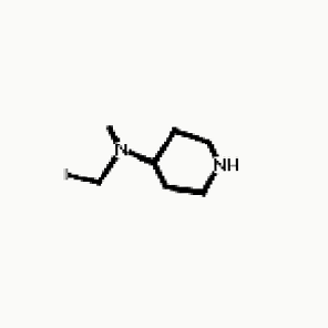 CN(CI)C1CCNCC1